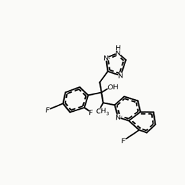 CC(c1ccc2cccc(F)c2n1)C(O)(Cc1nc[nH]n1)c1ccc(F)cc1F